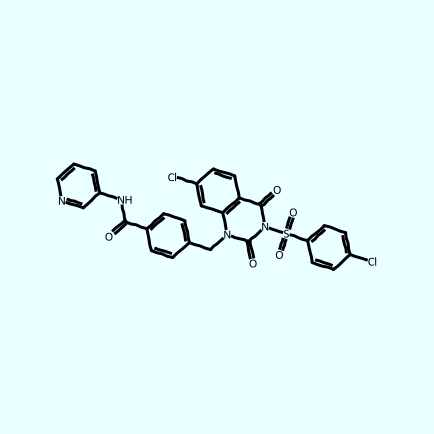 O=C(Nc1cccnc1)c1ccc(Cn2c(=O)n(S(=O)(=O)c3ccc(Cl)cc3)c(=O)c3ccc(Cl)cc32)cc1